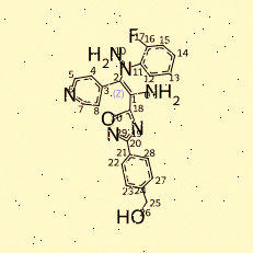 N/C(=C(/c1ccncc1)N(N)c1ccccc1F)c1nc(-c2ccc(CO)cc2)no1